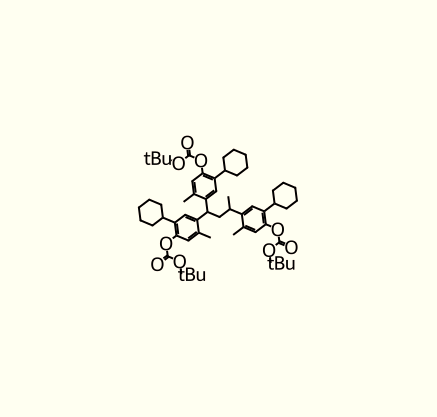 Cc1cc(OC(=O)OC(C)(C)C)c(C2CCCCC2)cc1C(C)CC(c1cc(C2CCCCC2)c(OC(=O)OC(C)(C)C)cc1C)c1cc(C2CCCCC2)c(OC(=O)OC(C)(C)C)cc1C